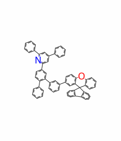 c1ccc(-c2cc(-c3ccccc3)nc(-c3ccc(-c4ccccc4)c(-c4cccc(-c5ccc6c(c5)C5(c7ccccc7O6)c6ccccc6-c6ccccc65)c4)c3)c2)cc1